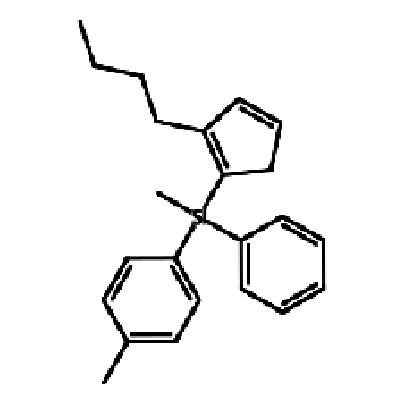 CCCCC1=C([Si](C)(c2ccccc2)c2ccc(C)cc2)CC=C1